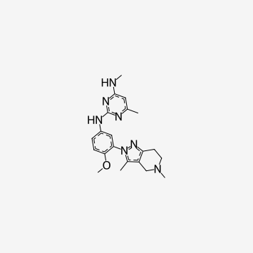 CNc1cc(C)nc(Nc2ccc(OC)c(-n3nc4c(c3C)CN(C)CC4)c2)n1